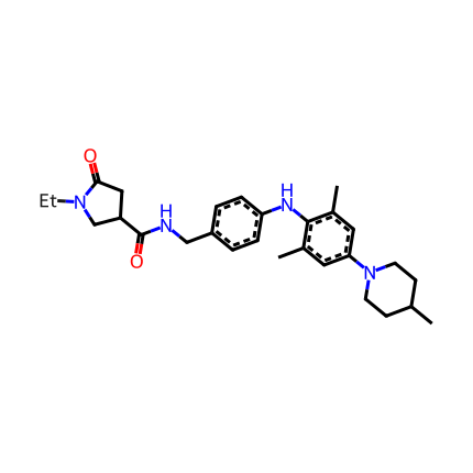 CCN1CC(C(=O)NCc2ccc(Nc3c(C)cc(N4CCC(C)CC4)cc3C)cc2)CC1=O